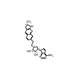 C[C@H]1Cc2cc3ccc(CC[C@H]4C[C@@H](n5ccc6c(N)ncnc65)[C@H](O)[C@@H]4O)cc3nc2N1